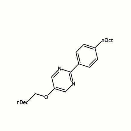 CCCCCCCCCCCOc1cnc(-c2ccc(CCCCCCCC)cc2)nc1